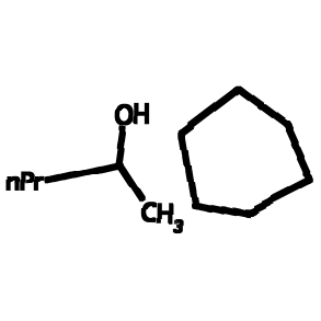 C1CCCCC1.CCCC(C)O